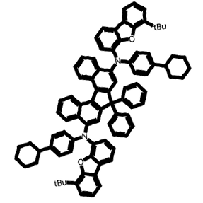 CC(C)(C)c1cccc2c1oc1c(N(c3ccc(C4CCCCC4)cc3)c3cc4c(c5ccccc35)-c3c(cc(N(c5ccc(C6CCCCC6)cc5)c5cccc6c5oc5c(C(C)(C)C)cccc56)c5ccccc35)C4(c3ccccc3)c3ccccc3)cccc12